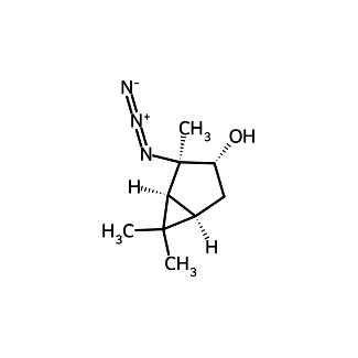 CC1(C)[C@@H]2C[C@@H](O)[C@](C)(N=[N+]=[N-])[C@@H]21